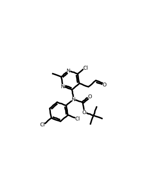 Cc1nc(Cl)c(CC=O)c(N(C(=O)OC(C)(C)C)c2ccc(Cl)cc2Cl)n1